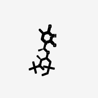 CCC(C)(C)CC(O[C@H](C)n1cc(C)c(=O)[nH]c1=O)[C@@H](C)N(C)C(C)(C)C